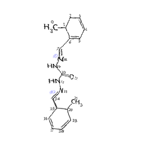 CC1CC=CC=C1/C=N/NC(=O)N/N=C/C1C=CC=CC1C